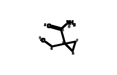 NC(=O)C1(C[O])CC1